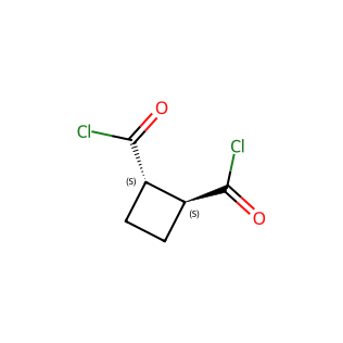 O=C(Cl)[C@H]1CC[C@@H]1C(=O)Cl